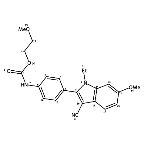 CCn1c(-c2ccc(NC(=O)OCCOC)cc2)c(C#N)c2ccc(OC)cc21